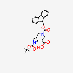 CC(C)(C)OC(=O)N1CC(CN(CCC(=O)O)C(=O)OCC2c3ccccc3-c3ccccc32)C1